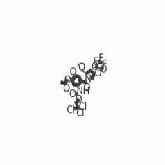 COC[C@@H]1CC(OS(=O)(=O)C(F)(F)F)=CN1C(=O)c1cc(OC)c(OC(C)=O)cc1NC(=O)OCC(Cl)(Cl)Cl